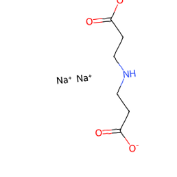 O=C([O-])CCNCCC(=O)[O-].[Na+].[Na+]